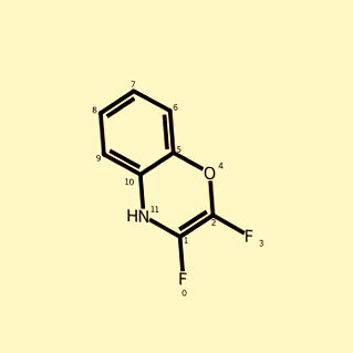 FC1=C(F)Oc2ccccc2N1